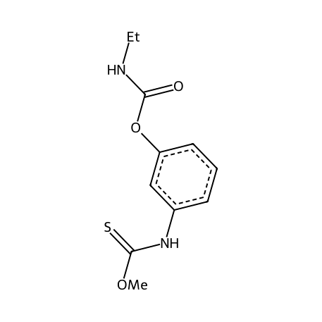 CCNC(=O)Oc1cccc(NC(=S)OC)c1